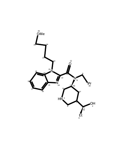 CC[C@H](O)C1CNC[C@@H](N(CC(C)C)C(=O)c2nc3ccccc3n2CCCCOC)C1